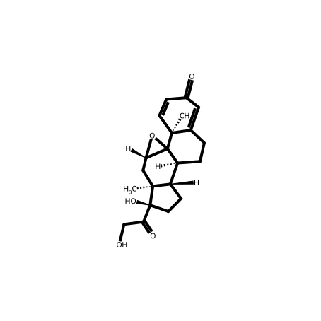 C[C@]12C=CC(=O)C=C1CC[C@H]1[C@@H]3CC[C@](O)(C(=O)CO)[C@@]3(C)C[C@@H]3OC312